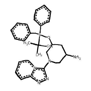 CC(C)(C)[Si](OC1CC(N)CN(c2nnc3ccccn23)C1)(c1ccccc1)c1ccccc1